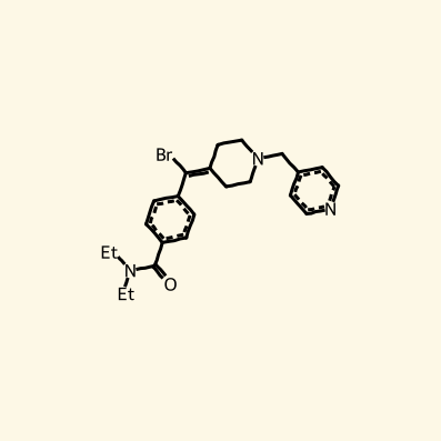 CCN(CC)C(=O)c1ccc(C(Br)=C2CCN(Cc3ccncc3)CC2)cc1